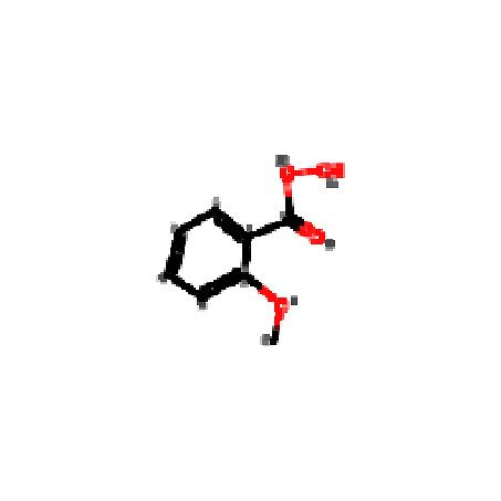 COc1ccccc1C(=O)OO